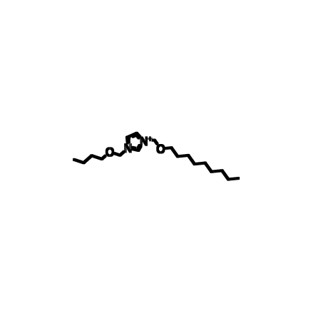 CCCCCCCCCOC[n+]1ccn(COCCCC)c1